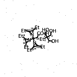 CCC(CO)(CO)CO.CCC1C(CC)N1C(CC(=O)O)(N1C(CC)C1CC)N1C(CC)C1CC